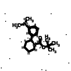 CN(C)c1cccc(C2CCCCN2C(=O)OC(C)(C)C)c1